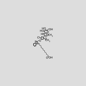 COc1cc(OCc2nc3ccccc3n2CCCCCCCCCCCC(=O)O)c(Cl)cc1C(=O)N[C@H]1[C@@H](OC)O[C@H](CO)[C@@H](O)[C@@H]1O